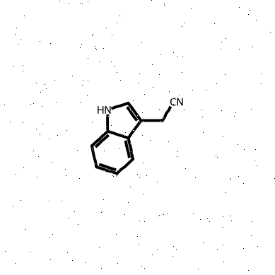 N#CCc1c[nH]c2cc[c]cc12